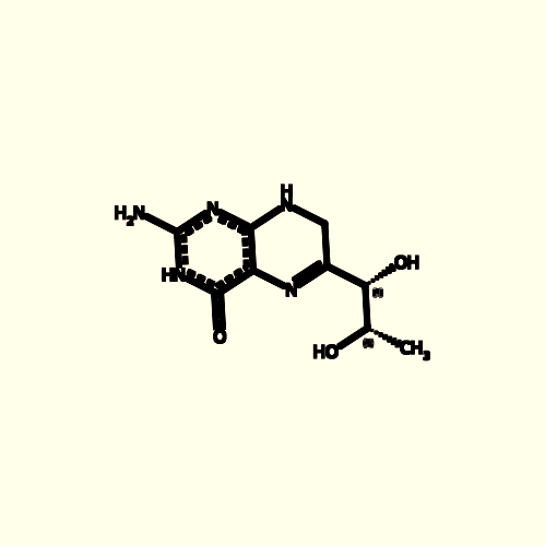 C[C@H](O)[C@@H](O)C1=Nc2c(nc(N)[nH]c2=O)NC1